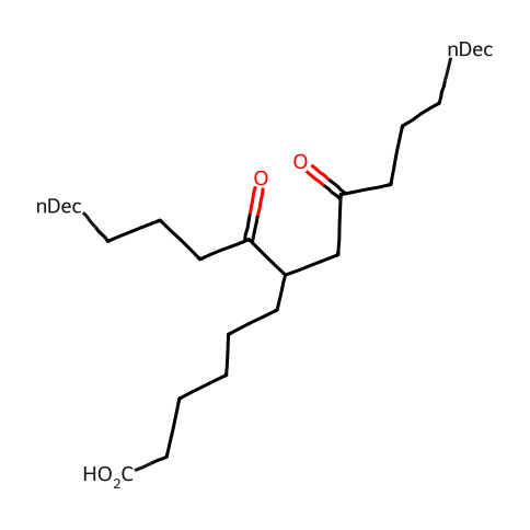 CCCCCCCCCCCCCC(=O)CC(CCCCCC(=O)O)C(=O)CCCCCCCCCCCCC